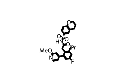 COc1cc(-c2cc(F)cc(C(C)C)c2CC(=O)NS(=O)(=O)c2ccc3c(c2)CCCO3)ccn1